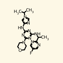 CC(Nc1nc(Nc2cn(C(C)C)cn2)nc(N2CCOCC2)n1)c1ncc(F)cn1